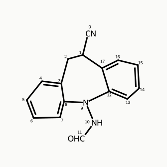 N#CC1Cc2ccccc2N(NC=O)c2ccccc21